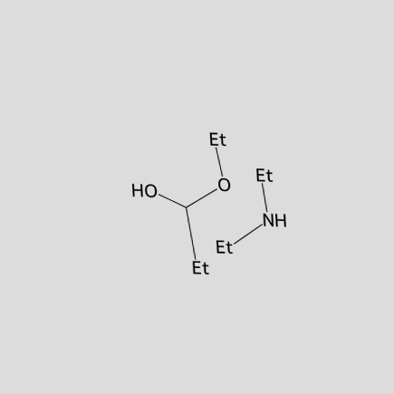 CCNCC.CCOC(O)CC